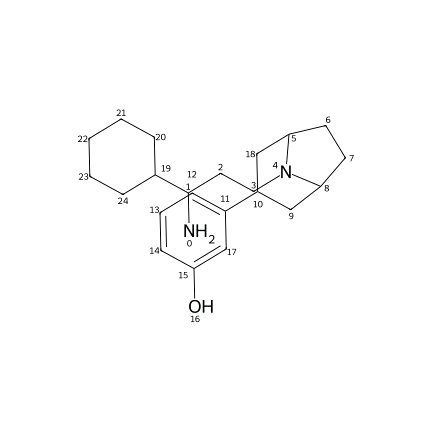 NC(CCN1C2CCC1CC(c1cccc(O)c1)C2)C1CCCCC1